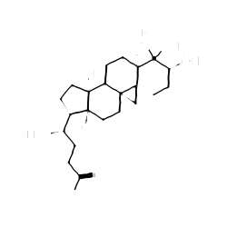 C=C(CC[C@@H](C)[C@H]1CC[C@@]2(C)C3CC[C@H]4C(C)(C)[C@@H](O)CC[C@@]45C[C@@]35CC[C@]12C)C(C)C